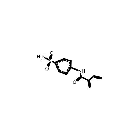 C=CC(=C)C(=O)Nc1ccc(S(N)(=O)=O)cc1